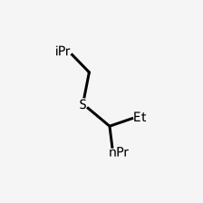 CCCC(CC)SCC(C)C